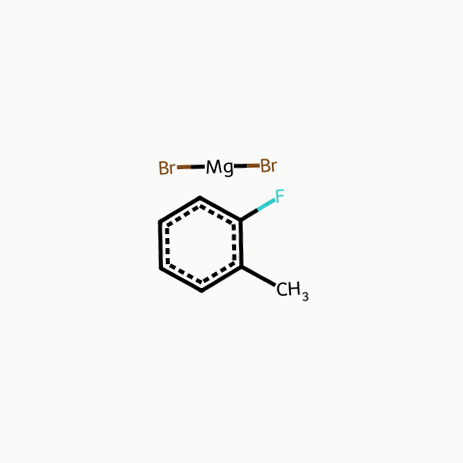 Cc1ccccc1F.[Br][Mg][Br]